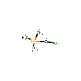 C[PH](C)(C)[Co][Cl]